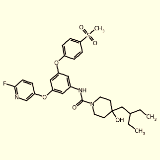 CCC(CC)CC1(O)CCN(C(=O)Nc2cc(Oc3ccc(S(C)(=O)=O)cc3)cc(Oc3ccc(F)nc3)c2)CC1